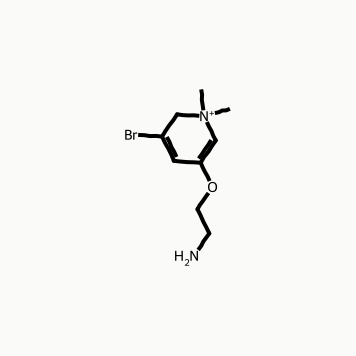 C[N+]1(C)C=C(OCCN)C=C(Br)C1